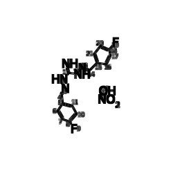 N=C(N/N=C/c1ccc(F)cc1)N/N=C/c1ccc(F)cc1.O=[N+]([O-])O